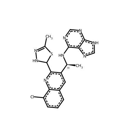 CC1=NNC(c2nc3c(Cl)cccc3cc2[C@H](C)Nc2ncnc3[nH]cnc23)S1